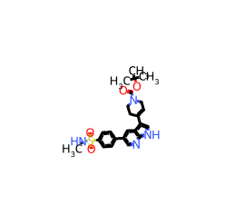 CNS(=O)(=O)c1ccc(-c2cnc3[nH]cc(C4=CCN(C(=O)OC(C)(C)C)CC4)c3c2)cc1